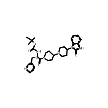 CC(C)(C)OC(=O)N[C@H](Cc1cccnc1)C(=O)N1CCC(N2CCC(n3c(=O)[nH]c4ccccc43)CC2)CC1